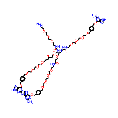 [N-]=[N+]=NCCOCCOCCOCCNC(=O)NC(CCC(=O)NCCOCCOCCOCCOCc1ccc(COc2nc(N)nc3[nH]cnc23)cc1)(COCCC(=O)CCCOCCOCCOCCOCc1ccc(COc2nc(N)nc3[nH]cnc23)cc1)COCCC(=O)NCCOCCOCCOCCOCc1ccc(COc2nc(N)nc3c2N=CC3)cc1